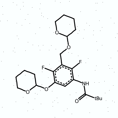 CC(C)(C)C(=O)Nc1cc(OC2CCCCO2)c(F)c(COC2CCCCO2)c1F